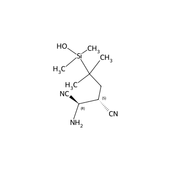 CC(C)(C[C@H](C#N)[C@@H](N)C#N)[Si](C)(C)O